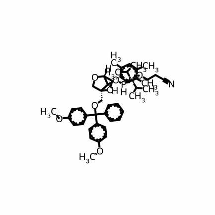 COc1ccc(C(OC[C@@]23CO[C@H]([C@H](c4cc(C)c(C)cc4C)O2)[C@@H]3OP[N+](OCCC#N)(C(C)C)C(C)C)(c2ccccc2)c2ccc(OC)cc2)cc1